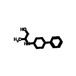 CC([CH]O)NC1CCC(c2ccccc2)CC1